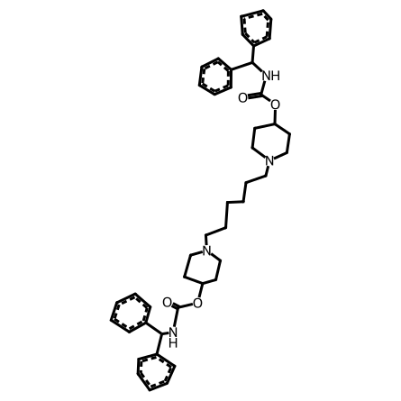 O=C(NC(c1ccccc1)c1ccccc1)OC1CCN(CCCCCCN2CCC(OC(=O)NC(c3ccccc3)c3ccccc3)CC2)CC1